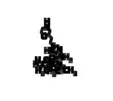 CC(C)C[CH]C(N)(O[Si](C)(C)C(C)(C)C)C1=NC=S(CCC2CNCCO2)N1